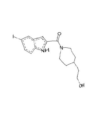 O=C(c1cc2cc(I)ccc2[nH]1)N1CCC(CCO)CC1